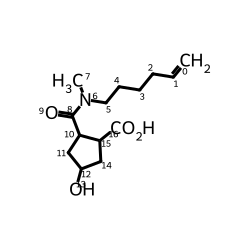 C=CCCCCN(C)C(=O)C1CC(O)CC1C(=O)O